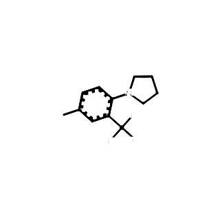 Cc1ccc(N2CCCC2)c(C(F)(F)F)c1